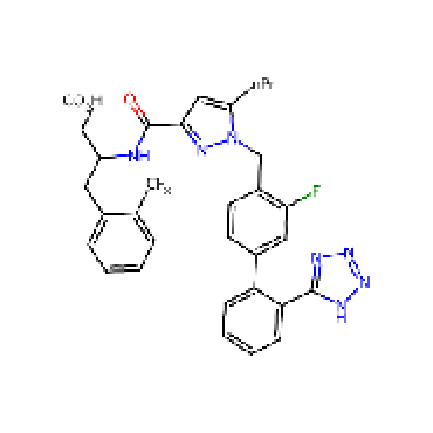 CCCc1cc(C(=O)NC(CC(=O)O)Cc2ccccc2C(F)(F)F)nn1Cc1ccc(-c2ccccc2-c2nnn[nH]2)cc1F